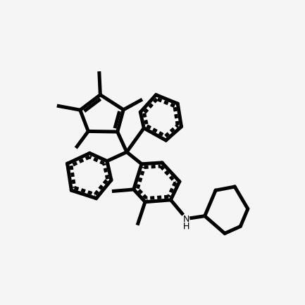 CC1=C(C)C(C)C(C(c2ccccc2)(c2ccccc2)c2ccc(NC3CCCCC3)c(C)c2C)=C1C